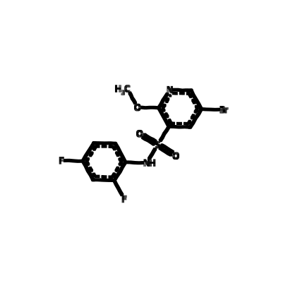 COc1ncc(Br)cc1S(=O)(=O)Nc1ccc(F)cc1F